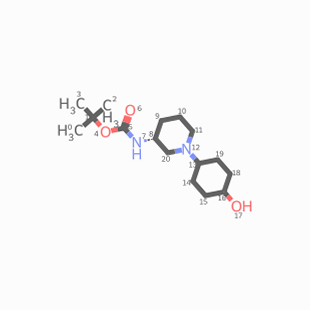 CC(C)(C)OC(=O)N[C@@H]1CCCN(C2CCC(O)CC2)C1